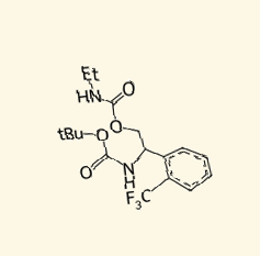 CCNC(=O)OCC(NC(=O)OC(C)(C)C)c1ccccc1C(F)(F)F